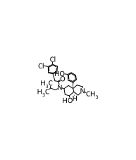 CC(C)CN(C(=O)Cc1ccc(Cl)c(Cl)c1)[C@@H]1CC(O)[C@@H]2CN(C)CC[C@@]2(c2cccc(O)c2)C1